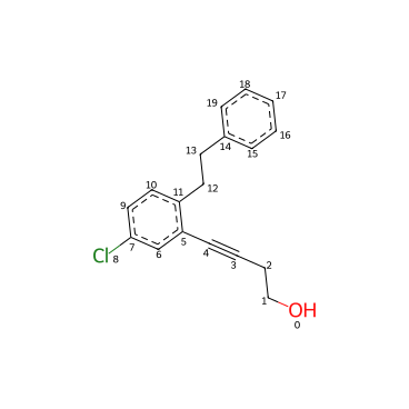 OCCC#Cc1cc(Cl)ccc1CCc1ccccc1